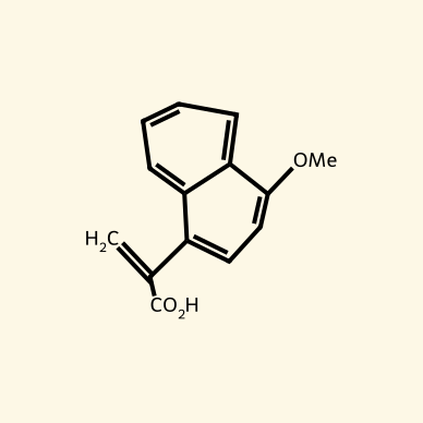 C=C(C(=O)O)c1ccc(OC)c2ccccc12